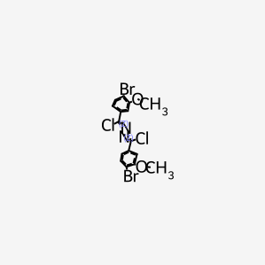 COc1cc(/C(Cl)=N/N=C(\Cl)c2ccc(Br)c(OC)c2)ccc1Br